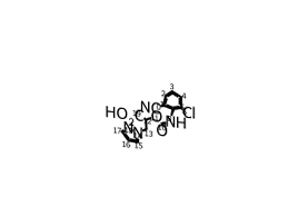 N#Cc1cccc(Cl)c1NC(=O)OC(Cn1cccn1)C(=O)O